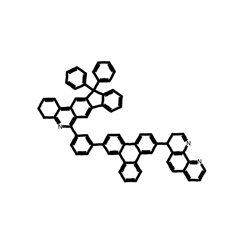 C1=Cc2c(nc(-c3cccc(-c4ccc5c6ccc(C7CC=Nc8c7ccc7cccnc87)cc6c6ccccc6c5c4)c3)c3cc4c(cc23)C(c2ccccc2)(c2ccccc2)c2ccccc2-4)CC1